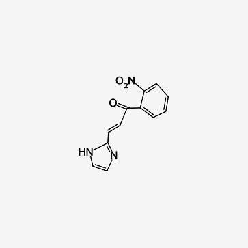 O=C(/C=C/c1ncc[nH]1)c1ccccc1[N+](=O)[O-]